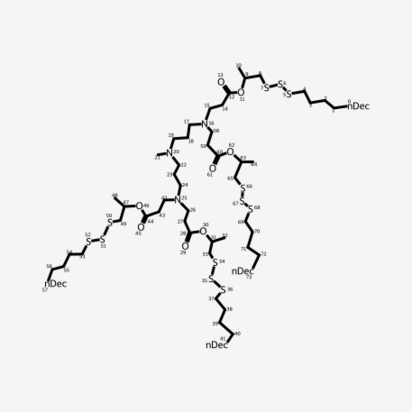 CCCCCCCCCCCCCCSSSCC(C)OC(=O)CCN(CCCN(C)CCCN(CCC(=O)OC(C)CSSSCCCCCCCCCCCCCC)CCC(=O)OC(C)CSSSCCCCCCCCCCCCCC)CCC(=O)OC(C)CSSSCCCCCCCCCCCCCC